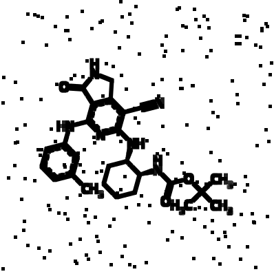 Cc1cccc(Nc2nc(N[C@@H]3CCCC[C@@H]3NC(=O)OC(C)(C)C)c(C#N)c3c2C(=O)NC3)c1